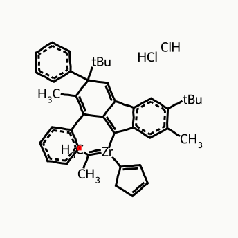 CC1=C(c2ccccc2)C2=[C]([Zr]([C]3=CC=CC3)=[C](C)C)c3cc(C)c(C(C)(C)C)cc3C2=CC1(c1ccccc1)C(C)(C)C.Cl.Cl